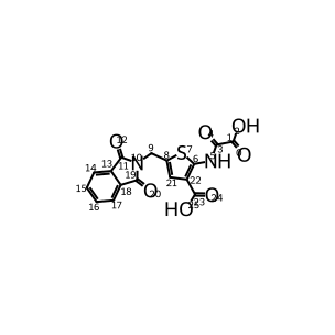 O=C(O)C(=O)Nc1sc(CN2C(=O)c3ccccc3C2=O)cc1C(=O)O